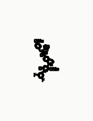 COc1ccc(CN(c2ccon2)S(=O)(=O)c2ccc3c(-c4cc(=O)n(-c5cc(F)cc(F)c5)cc4OC)nccc3c2)cc1